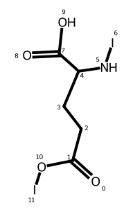 O=C(CCC(NI)C(=O)O)OI